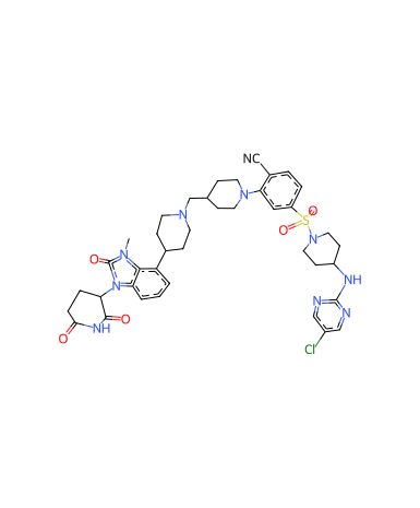 Cn1c(=O)n(C2CCC(=O)NC2=O)c2cccc(C3CCN(CC4CCN(c5cc(S(=O)(=O)N6CCC(Nc7ncc(Cl)cn7)CC6)ccc5C#N)CC4)CC3)c21